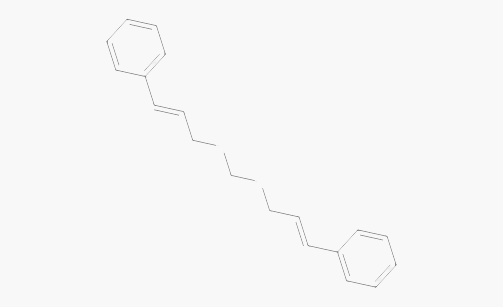 C(=Cc1ccccc1)COCOC/C=C/c1ccccc1